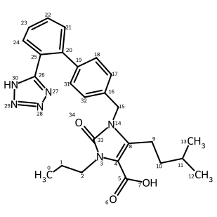 CCCn1c(C(=O)O)c(CCC(C)C)n(Cc2ccc(-c3ccccc3-c3nnn[nH]3)cc2)c1=O